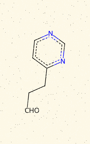 O=CCCc1ccncn1